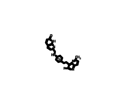 Cc1ccc2ncc(F)c(CCC34CCC(NCc5ccc6ccc(=O)[nH]c6n5)(CC3)CO4)c2n1